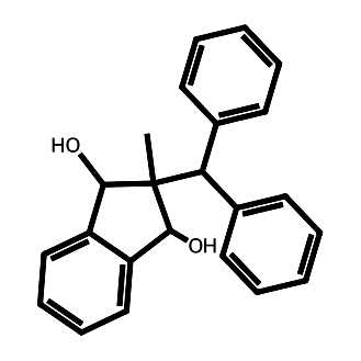 CC1(C(c2ccccc2)c2ccccc2)C(O)c2ccccc2C1O